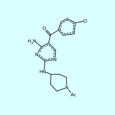 CC(=O)N1CCC(Nc2ncc(C(=O)c3ccc(Cl)cc3)c(N)n2)CC1